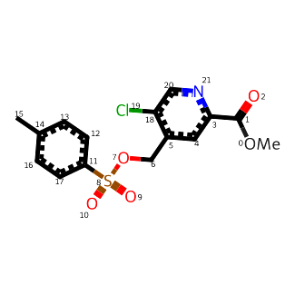 COC(=O)c1cc(COS(=O)(=O)c2ccc(C)cc2)c(Cl)cn1